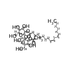 CCCCC/C=C\C/C=C\CCCCCCCC(=O)O[C@H]1[C@@H](O[C@]2(CO)O[C@H](CO)[C@@H](O)[C@@H]2OC(C)=O)O[C@H](CO)[C@@H](O)[C@@H]1O